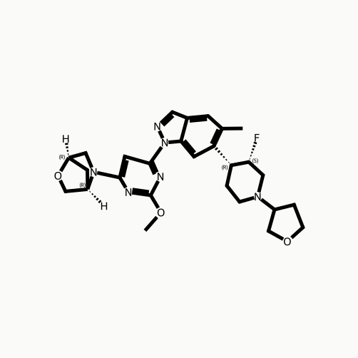 COc1nc(N2C[C@H]3C[C@@H]2CO3)cc(-n2ncc3cc(C)c([C@H]4CCN(C5CCOC5)C[C@H]4F)cc32)n1